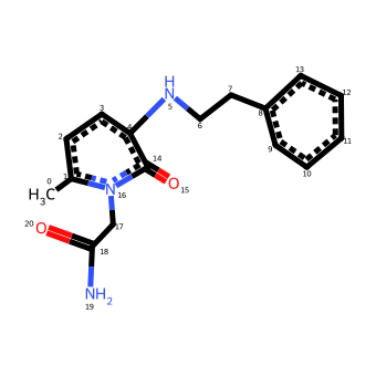 Cc1ccc(NCCc2ccccc2)c(=O)n1CC(N)=O